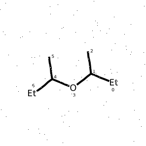 CCC(C)OC(C)CC